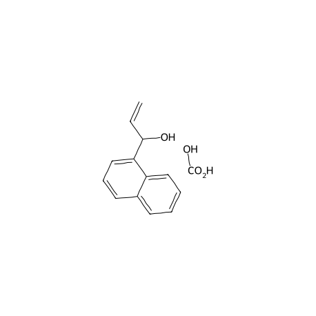 C=CC(O)c1cccc2ccccc12.O=C(O)O